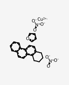 O=[N+]([O-])[O-].O=[N+]([O-])[O-].[Cu+2].c1ccc2c(c1)ccc1c3c(ccc12)CCCC3.c1ccoc1